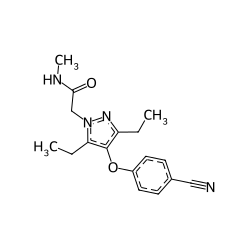 CCc1nn(CC(=O)NC)c(CC)c1Oc1ccc(C#N)cc1